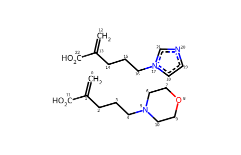 C=C(CCCN1CCOCC1)C(=O)O.C=C(CCCn1ccnc1)C(=O)O